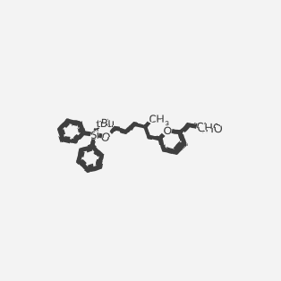 CC(CCCO[Si](c1ccccc1)(c1ccccc1)C(C)(C)C)CC1CC=CC(CC=O)O1